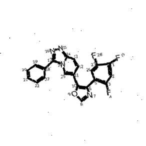 Fc1cc(F)c(-c2ncoc2-c2ccc3nnc(-c4ccccc4)n3c2)cc1F